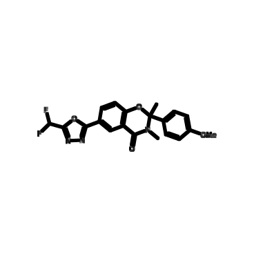 COc1ccc(C2(C)Oc3ccc(-c4nnc(C(F)F)o4)cc3C(=O)N2C)cc1